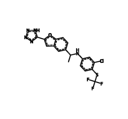 CC(Nc1ccc(SC(F)(F)F)c(Cl)c1)c1ccc2oc(-c3nnn[nH]3)cc2c1